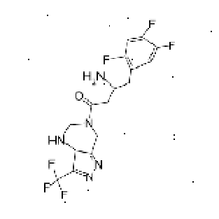 NC(CC(=O)N1CNC2C(=NN=C2C(F)(F)F)C1)Cc1cc(F)c(F)cc1F